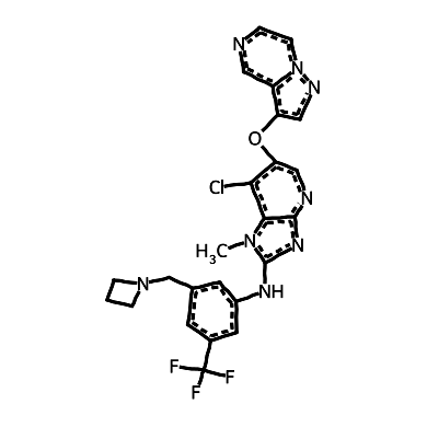 Cn1c(Nc2cc(CN3CCC3)cc(C(F)(F)F)c2)nc2ncc(Oc3cnn4ccncc34)c(Cl)c21